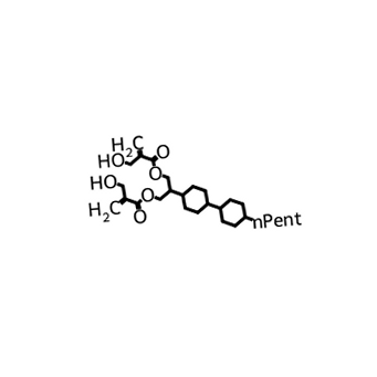 C=C(CO)C(=O)OCC(COC(=O)C(=C)CO)C1CCC(C2CCC(CCCCC)CC2)CC1